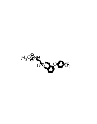 CS(=O)(=O)NCCC(=O)N1CCc2c(cccc2Oc2ccc(C(F)(F)F)cc2)C1